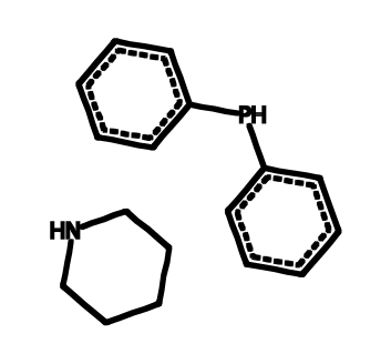 C1CCNCC1.c1ccc(Pc2ccccc2)cc1